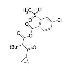 CC(C)(C)C(C(=O)OC(=O)c1ccc(Cl)cc1S(C)(=O)=O)C(=O)C1CC1